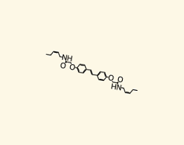 CC/C=C\CNC(=O)COc1ccc(/C=C/c2ccc(OCC(=O)NC/C=C\CC)cc2)cc1